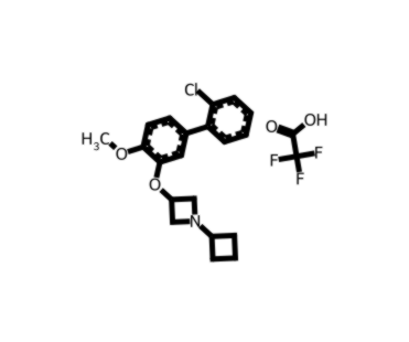 COc1ccc(-c2ccccc2Cl)cc1OC1CN(C2CCC2)C1.O=C(O)C(F)(F)F